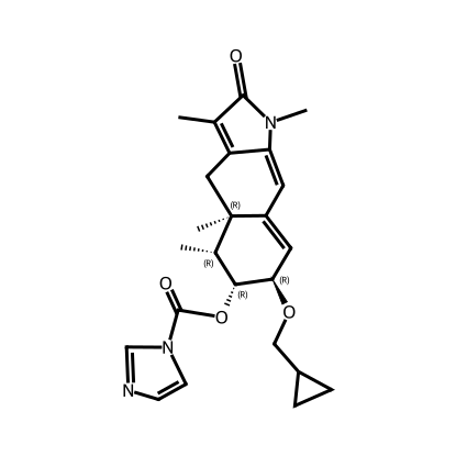 CC1=C2C[C@@]3(C)C(=C[C@@H](OCC4CC4)[C@H](OC(=O)n4ccnc4)[C@@H]3C)C=C2N(C)C1=O